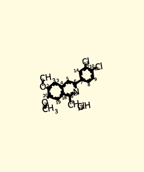 COc1cc2cc(-c3ccc(Cl)c(Cl)c3)nc(C)c2cc1OC.Cl